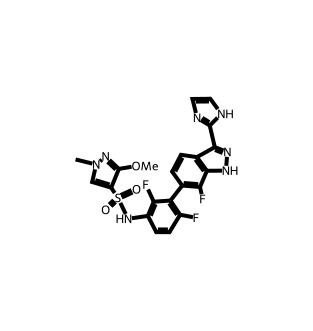 COc1nn(C)cc1S(=O)(=O)Nc1ccc(F)c(-c2ccc3c(-c4ncc[nH]4)n[nH]c3c2F)c1F